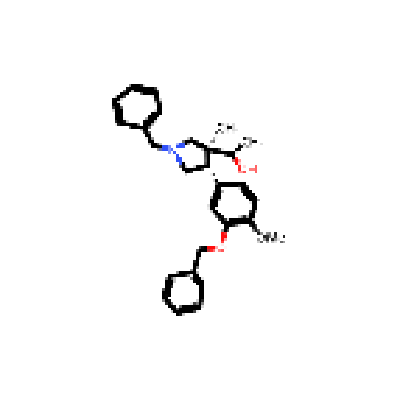 COc1ccc([C@@H]2CN(Cc3ccccc3)C[C@@]2(C)[C@@H](C)O)cc1OCc1ccccc1